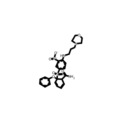 NC(=O)C1C=CC=CC1(Oc1ccccc1)S(=O)(=O)c1ccc(NCCCN2CCOCC2)c([N+](=O)[O-])c1